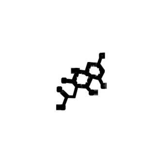 O=C(O)Cc1c(O)c2c(Cl)cc(Cl)cc2[nH]c1=O